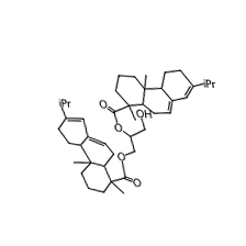 CC(C)C1=CC2=CCC3C(C)(C(=O)OCC(CO)OC(=O)C4(C)CCCC5(C)C6CCC(C(C)C)=CC6=CCC45)CCCC3(C)C2CC1